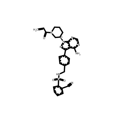 C=CC(=O)N1CCC[C@@H](n2nc(-c3ccc(CNS(=O)(=O)c4ccccc4C#N)cc3)c3c(N)ncnc32)C1